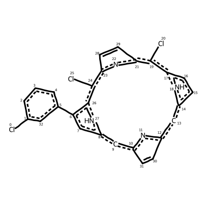 Clc1cccc(-c2cc3cc4nc(cc5ccc([nH]5)c(Cl)c5nc(c(Cl)c2[nH]3)C=C5)C=C4)c1